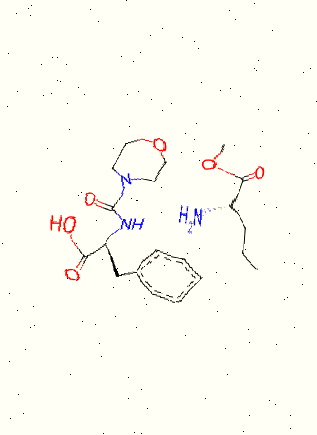 CCC[C@H](N)C(=O)OC.O=C(O)[C@H](Cc1ccccc1)NC(=O)N1CCOCC1